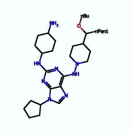 CCCCCC(OCCCC)C1CCN(Nc2nc(NC3CCC(N)CC3)nc3c2ncn3C2CCCC2)CC1